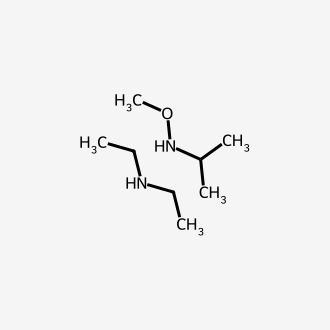 CCNCC.CONC(C)C